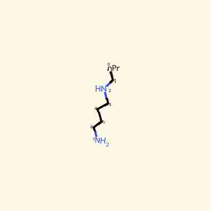 [CH2]CCCNCCCCN